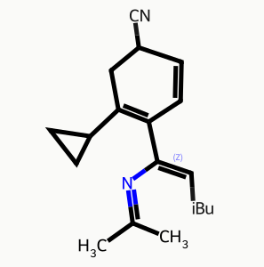 CCC(C)/C=C(\N=C(C)C)C1=C(C2CC2)CC(C#N)C=C1